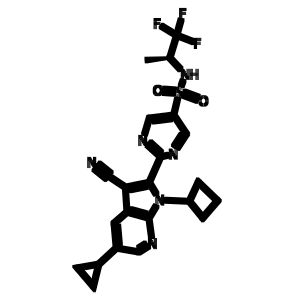 C[C@H](NS(=O)(=O)c1cnc(-c2c(C#N)c3cc(C4CC4)cnc3n2C2CCC2)nc1)C(F)(F)F